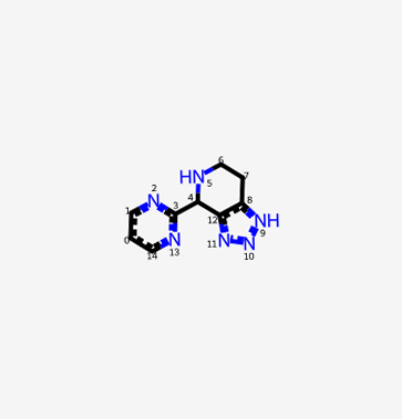 c1cnc(C2NCCc3[nH]nnc32)nc1